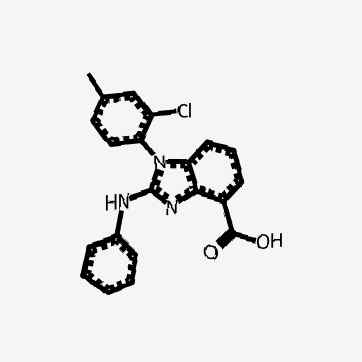 Cc1ccc(-n2c(Nc3ccccc3)nc3c(C(=O)O)cccc32)c(Cl)c1